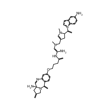 C=C1CN2C(=C)c3ccc(OCCCC(=C)N/C(N)=C/N(C)CC4=CN(C)C(C(=C)n5ccc6cc(N)ccc65)C4)cc3N=CC2(N)C1